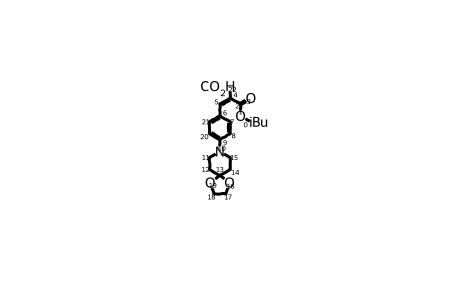 CCC(C)OC(=O)C(=Cc1ccc(N2CCC3(CC2)OCCO3)cc1)C(=O)O